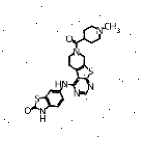 CN1CCC(C(=O)N2CCc3c(sc4ncnc(Nc5ccc6[nH]c(=O)sc6c5)c34)C2)CC1